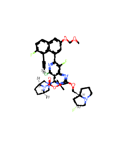 [2H]C#Cc1c(F)ccc2cc(OCOC)cc(-c3nc(Cl)c4c(N5C[C@H]6CC[C@@H](C5)N6C(=O)OC(C)(C)C)nc(OC[C@@]56CCCN5C[C@H](F)C6)nc4c3F)c12